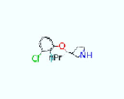 CCC[C@H](Oc1cccc(Cl)c1F)C1CCNC1